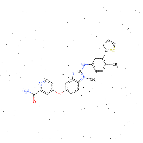 Cc1ccc(Nc2nc3cc(Oc4ccnc(C(N)=O)c4)ccc3n2C)cc1-c1cccs1